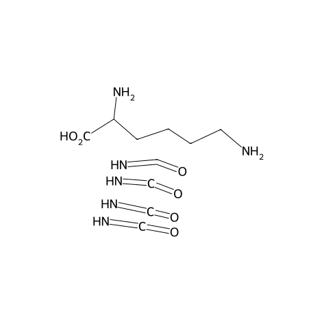 N=C=O.N=C=O.N=C=O.N=C=O.NCCCCC(N)C(=O)O